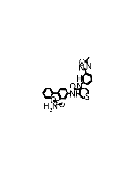 Cc1nc(-c2cccc(NC3(C(=O)Nc4ccc(-c5ccccc5)c(S(N)(=O)=O)c4)CCSCC3)c2)no1